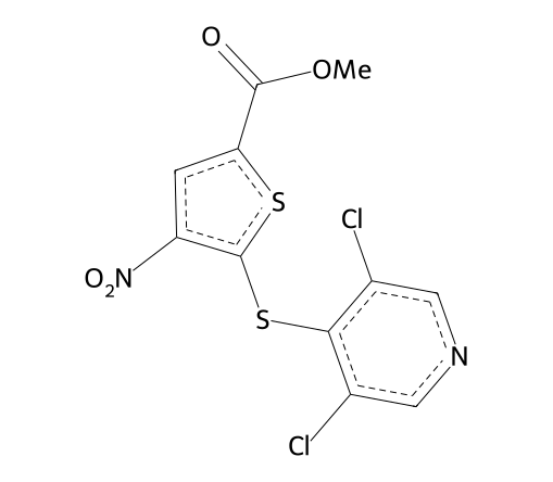 COC(=O)c1cc([N+](=O)[O-])c(Sc2c(Cl)cncc2Cl)s1